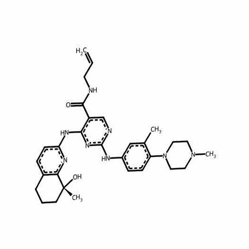 C=CCNC(=O)c1cnc(Nc2ccc(N3CCN(C)CC3)c(C)c2)nc1Nc1ccc2c(n1)[C@](C)(O)CCC2